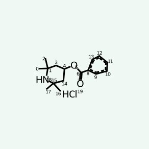 CC1(C)CC(OC(=O)c2ccccc2)CC(C)(C)N1.Cl